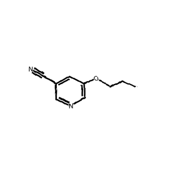 [CH2]CCOc1cncc(C#N)c1